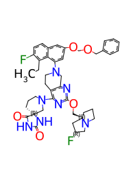 CCc1c(F)ccc2cc(OCOCc3ccccc3)cc(N3CCc4c(nc(OC[C@@]56CCCN5C[C@H](F)C6)nc4N4CCC[C@]5(C4)NC(=O)NC5=O)C3)c12